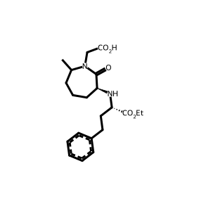 CCOC(=O)[C@H](CCc1ccccc1)N[C@H]1CCCC(C)N(CC(=O)O)C1=O